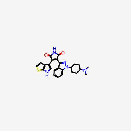 CN(C)[C@H]1CC[C@@H](n2nc(C3=C(c4c[nH]c5sccc45)C(=O)NC3=O)c3ccccc32)CC1